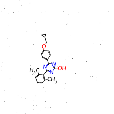 Cc1cccc(C)c1-c1nc(O)nc(-c2ccc(OCC3CC3)cc2)n1